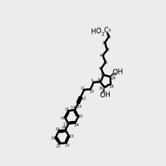 O=C(O)CCCCCCC1C(CCCC#Cc2ccc(-c3ccccc3)cc2)[C@H](O)C[C@@H]1O